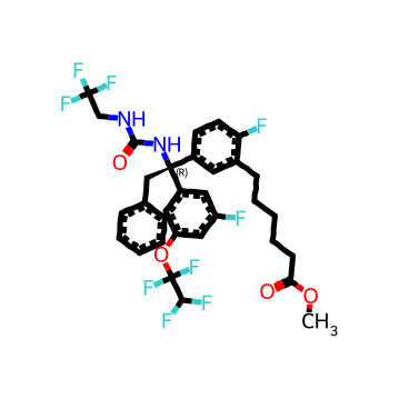 COC(=O)CCCCCc1cc([C@@](Cc2ccccc2)(NC(=O)NCC(F)(F)F)c2cc(F)cc(OC(F)(F)C(F)F)c2)ccc1F